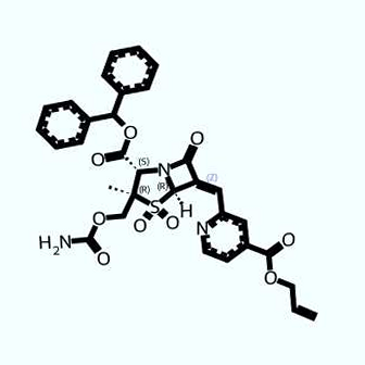 C=CCOC(=O)c1ccnc(/C=C2/C(=O)N3[C@@H](C(=O)OC(c4ccccc4)c4ccccc4)[C@](C)(COC(N)=O)S(=O)(=O)[C@H]23)c1